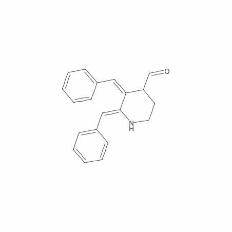 O=CC1CCNC(=Cc2ccccc2)C1=Cc1ccccc1